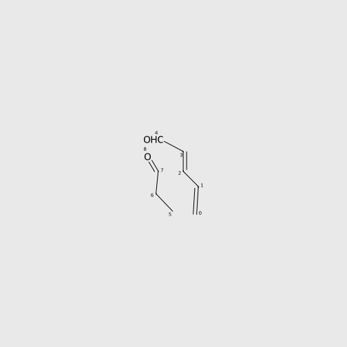 C=CC=CC=O.CCC=O